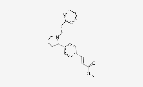 COC(=O)/C=C/c1ccc(C2CCCN2CCc2ccccn2)cc1